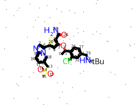 CC(Oc1cc(-c2cnc3ccc(CS(C)(=O)=O)cn23)sc1C(N)=O)c1ccc(CNC(C)(C)C)cc1Cl